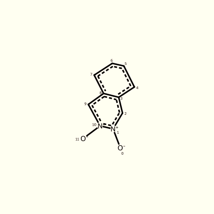 [O-][n+]1cc2ccccc2c[n+]1[O-]